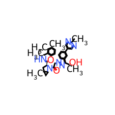 Cc1ncc(-c2ccc3c(c2)c(C(C)O)nn3CC(=O)N2C3C[C@]3(C)C[C@H]2C(=O)N[C@@H](C)c2cccc(C)c2C)cn1